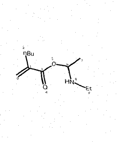 C=C(CCCC)C(=O)OC(C)NCC